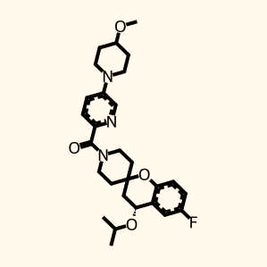 COC1CCN(c2ccc(C(=O)N3CCC4(CC3)C[C@@H](OC(C)C)c3cc(F)ccc3O4)nc2)CC1